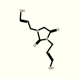 O=C1CN(CC=CO)C(=O)N1CC=CO